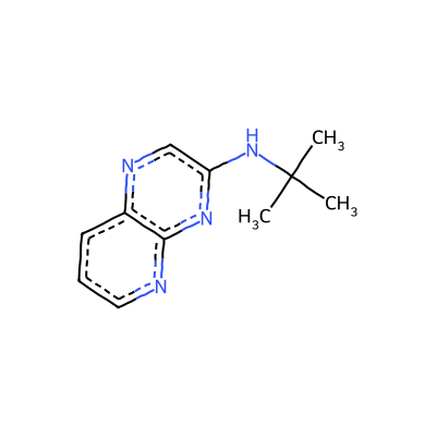 CC(C)(C)Nc1cnc2cccnc2n1